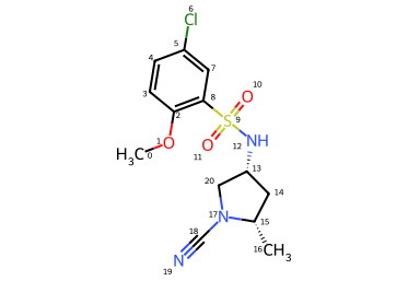 COc1ccc(Cl)cc1S(=O)(=O)N[C@@H]1C[C@H](C)N(C#N)C1